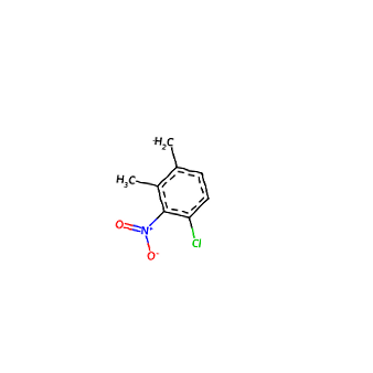 [CH2]c1ccc(Cl)c([N+](=O)[O-])c1C